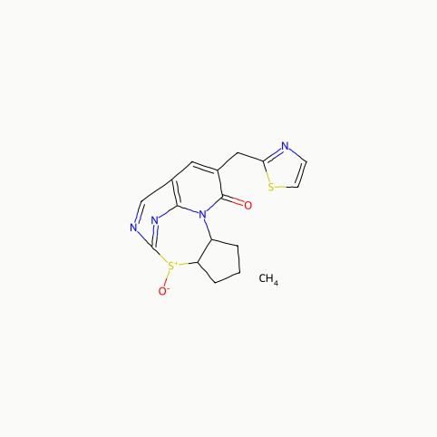 C.O=c1c(Cc2nccs2)cc2cnc3nc2n1C1CCCC1[S+]3[O-]